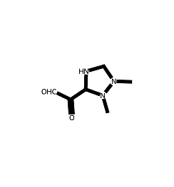 CN1CNC(C(=O)C=O)N1C